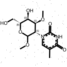 COC1O[C@H](CO)[C@@H](O)[C@@H](OC)[C@@H]1n1cc(C)c(=O)[nH]c1=O